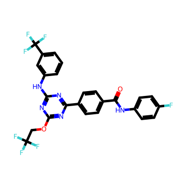 O=C(Nc1ccc(F)cc1)c1ccc(-c2nc(Nc3cccc(C(F)(F)F)c3)nc(OCC(F)(F)F)n2)cc1